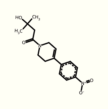 CC(C)(O)CC(=O)N1CC=C(c2ccc([N+](=O)[O-])cc2)CC1